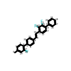 Cc1ccc(-c2ccc(/C=C/c3ccc(-c4ccccc4)c(F)c3F)cc2)c(F)c1